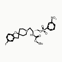 CC(C)(C)OC(=O)N[C@@H](COS(=O)(=O)c1cccc([N+](=O)[O-])c1)CN1CCC2(CC1)Cc1cc(F)ccc1O2